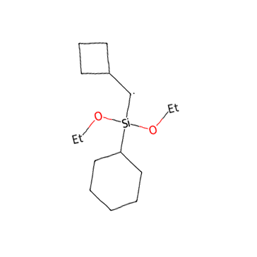 CCO[Si]([CH]C1CCC1)(OCC)C1CCCCC1